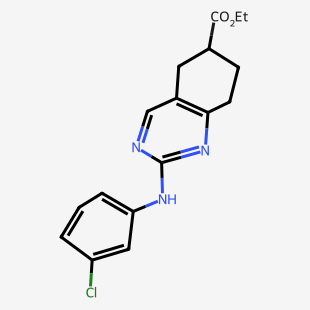 CCOC(=O)C1CCc2nc(Nc3cccc(Cl)c3)ncc2C1